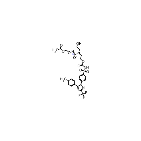 CC(=O)OCO/N=[N+](\[O-])N(CCO)CCOC(=O)NS(=O)(=O)c1ccc(-n2nc(C(F)(F)F)cc2-c2ccc(C)cc2)cc1